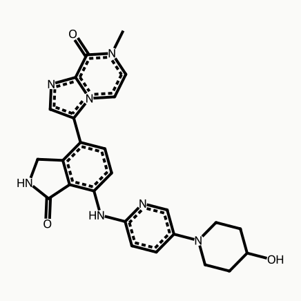 Cn1ccn2c(-c3ccc(Nc4ccc(N5CCC(O)CC5)cn4)c4c3CNC4=O)cnc2c1=O